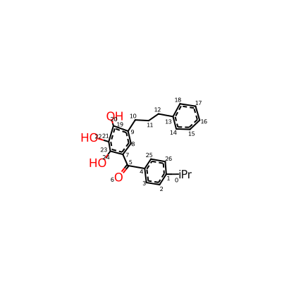 CC(C)c1ccc(C(=O)c2cc(CCCc3ccccc3)c(O)c(O)c2O)cc1